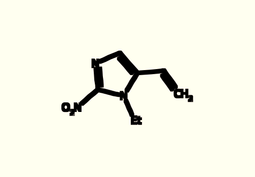 C=Cc1cnc([N+](=O)[O-])n1CC